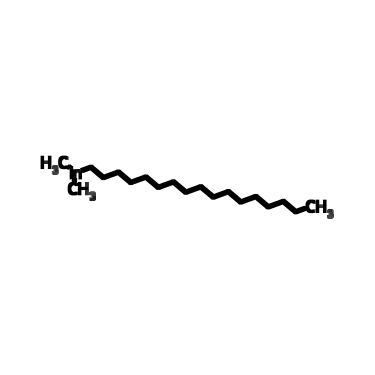 CCCCCCCCCCCCCCCC[CH2][In]([CH3])[CH3]